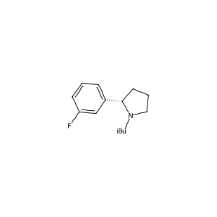 CCC(C)N1CCC[C@H]1c1cccc(F)c1